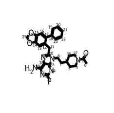 CC(=O)N1CCC(CCn2c(Cc3cc4c(cc3-c3ccccc3)OCO4)nc3c(N)nc(F)nc32)CC1